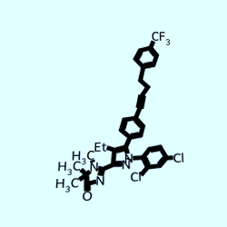 CCc1c(C2=NC(=O)C(C)(C)N2C)nn(-c2ccc(Cl)cc2Cl)c1-c1ccc(C#CCCc2ccc(C(F)(F)F)cc2)cc1